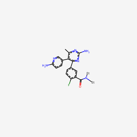 CCN(CC)C(=O)c1cc(-c2nc(N)nc(C)c2-c2ccc(N)nc2)ccc1F